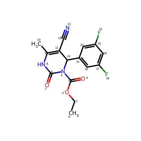 CCOC(=O)N1C(=O)NC(C)=C(C#N)C1c1cc(F)cc(F)c1